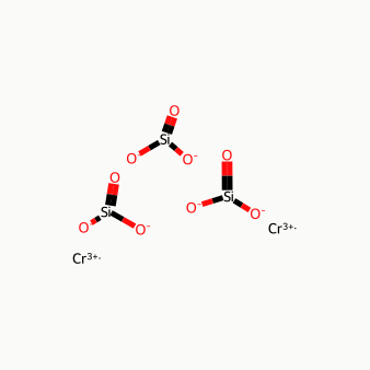 O=[Si]([O-])[O-].O=[Si]([O-])[O-].O=[Si]([O-])[O-].[Cr+3].[Cr+3]